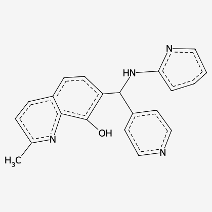 Cc1ccc2ccc(C(Nc3ccccn3)c3ccncc3)c(O)c2n1